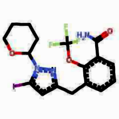 NC(=O)c1cccc(Cc2cc(I)n(C3CCCCO3)n2)c1OC(F)(F)F